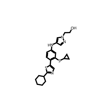 OCCn1cc(Nc2ccc(-c3cnc(C4CCCCC4)s3)c(SC3CC3)c2)cn1